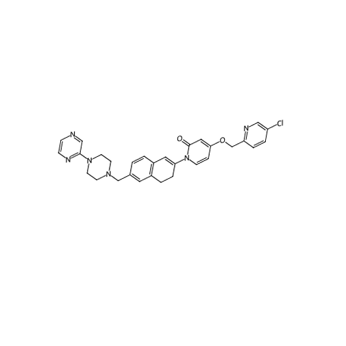 O=c1cc(OCc2ccc(Cl)cn2)ccn1C1=Cc2ccc(CN3CCN(c4cnccn4)CC3)cc2CC1